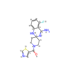 NC1=NC2(CCN(C(=O)c3cncs3)CC2)Nc2cccc(F)c21